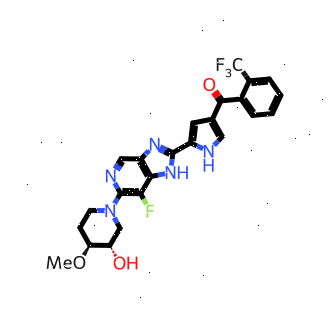 CO[C@H]1CCN(c2ncc3nc(-c4cc(C(=O)c5ccccc5C(F)(F)F)c[nH]4)[nH]c3c2F)C[C@@H]1O